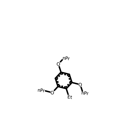 CCCOc1cc(OCCC)c(CC)c(OCCC)c1